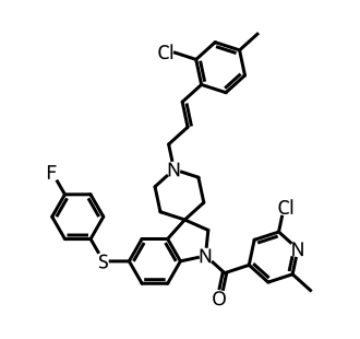 Cc1ccc(/C=C/CN2CCC3(CC2)CN(C(=O)c2cc(C)nc(Cl)c2)c2ccc(Sc4ccc(F)cc4)cc23)c(Cl)c1